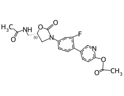 CC(=O)NC[C@H]1CN(c2ccc(-c3ccc(OC(C)=O)nc3)c(F)c2)C(=O)O1